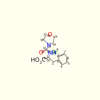 O=C(O)[C@H](Cc1ccccc1Br)NC(=O)N1CCOCC1